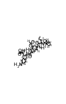 CC[C@H](C)[C@H](NC(=O)[C@@]1(C)CCCN1C)C(=O)N(C)[C@H](C[C@@H](OC(C)=O)c1nc(C(=O)N[C@@H](Cc2ccc(N)cc2)C[C@H](C)C(=O)O)cs1)C(C)C